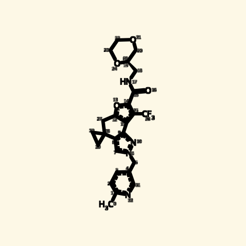 Cc1ccc(Cn2cc3c(n2)-c2c(oc(C(=O)NC[C@@H]4COCCO4)c2C(F)(F)F)CC32CC2)cn1